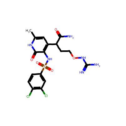 Cc1cc(C(CCONC(=N)N)C(N)=O)c(NS(=O)(=O)c2ccc(Cl)c(Cl)c2)c(=O)[nH]1